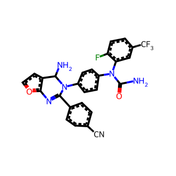 N#Cc1ccc(C2=Nc3occc3C(N)N2c2ccc(N(C(N)=O)c3cc(C(F)(F)F)ccc3F)cc2)cc1